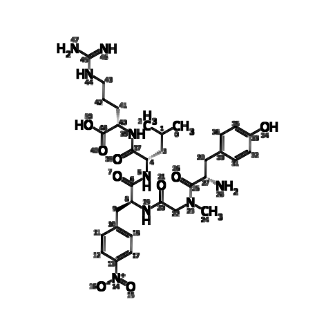 CC(C)C[C@H](NC(=O)[C@H](Cc1ccc([N+](=O)[O-])cc1)NC(=O)CN(C)C(=O)[C@@H](N)Cc1ccc(O)cc1)C(=O)N[C@@H](CCCNC(=N)N)C(=O)O